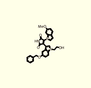 COc1ccc2ccn(C3=C(c4cn(CCO)c5ccc(OCc6ccccc6)cc45)C(=O)NC3=O)c2c1